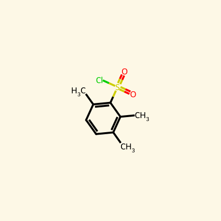 Cc1ccc(C)c(S(=O)(=O)Cl)c1C